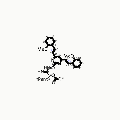 CCCCCN(OC(=O)C(F)(F)F)C(=N)NOc1nc(/C=C/c2ccccc2OC)cc(/C=C/c2ccccc2OC)n1